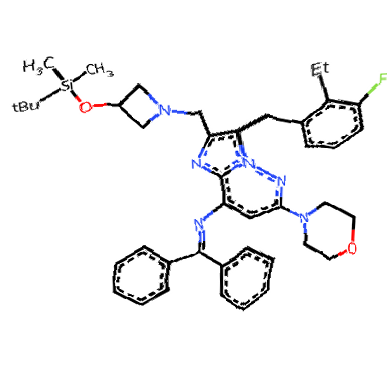 CCc1c(F)cccc1Cc1c(CN2CC(O[Si](C)(C)C(C)(C)C)C2)nc2c(N=C(c3ccccc3)c3ccccc3)cc(N3CCOCC3)nn12